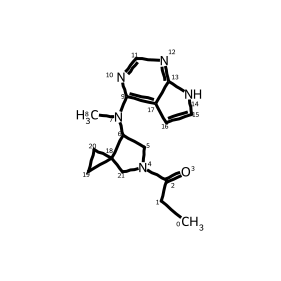 CCC(=O)N1CC(N(C)c2ncnc3[nH]ccc23)C2(CC2)C1